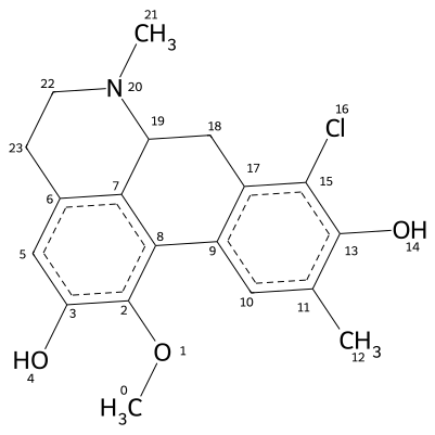 COc1c(O)cc2c3c1-c1cc(C)c(O)c(Cl)c1CC3N(C)CC2